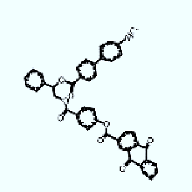 [C-]#[N+]c1ccc(-c2ccc(C(=O)OC(COC(=O)c3ccc(OC(=O)c4ccc5c(c4)C(=O)c4ccccc4C5=O)cc3)c3ccccc3)cc2)cc1